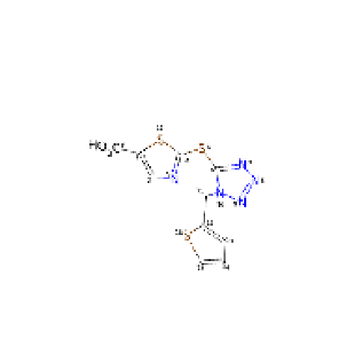 O=C(O)c1cnc(Sc2nnnn2Cc2cccs2)s1